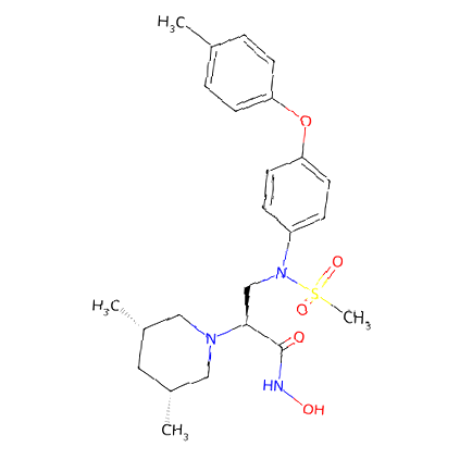 Cc1ccc(Oc2ccc(N(C[C@@H](C(=O)NO)N3C[C@H](C)C[C@H](C)C3)S(C)(=O)=O)cc2)cc1